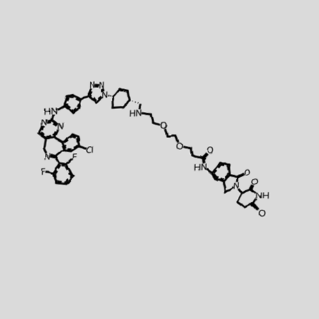 O=C1CCC(N2Cc3cc(NC(=O)CCOCCOCCNC[C@H]4CC[C@@H](n5cc(-c6ccc(Nc7ncc8c(n7)-c7ccc(Cl)cc7C(c7c(F)cccc7F)=NC8)cc6)nn5)CC4)ccc3C2=O)C(=O)N1